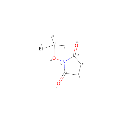 CCC(C)(C)ON1C(=O)CCC1=O